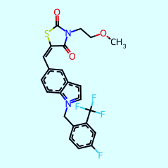 COCCN1C(=O)SC(=Cc2ccc3c(ccn3Cc3ccc(F)cc3C(F)(F)F)c2)C1=O